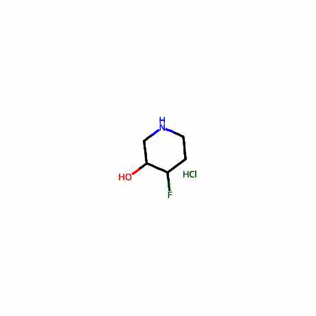 Cl.OC1CNCCC1F